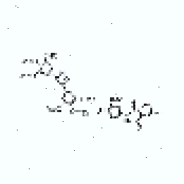 COc1cc(C2NC(=O)c3cc(Cl)ccc3N2)ccc1OCC1C=C(Oc2c(OC)cc(-c3cc(-c4cc(C=O)c(OC)c(OC)c4)no3)cc2OC)C1